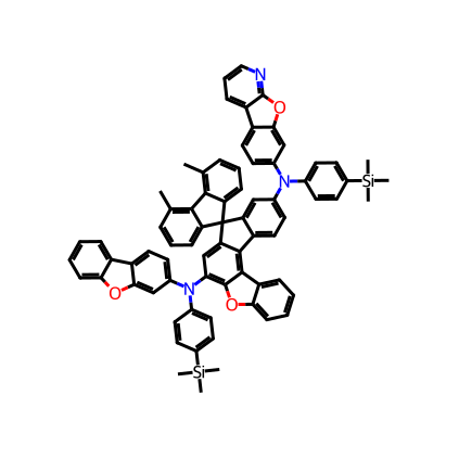 Cc1cccc2c1-c1c(C)cccc1C21c2cc(N(c3ccc([Si](C)(C)C)cc3)c3ccc4c(c3)oc3ncccc34)ccc2-c2c1cc(N(c1ccc([Si](C)(C)C)cc1)c1ccc3c(c1)oc1ccccc13)c1oc3ccccc3c21